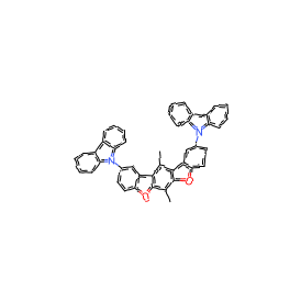 Cc1c2oc3ccc(-n4c5ccccc5c5ccccc54)cc3c2c(C)c2c1oc1ccc(-n3c4ccccc4c4ccccc43)cc12